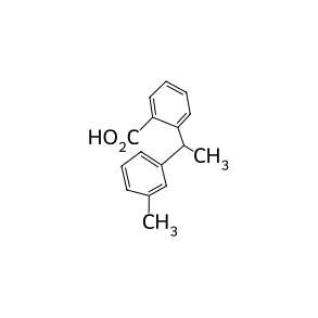 Cc1cccc(C(C)c2ccccc2C(=O)O)c1